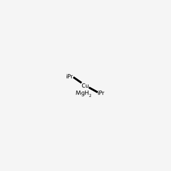 C[CH](C)[Cu][CH](C)C.[MgH2]